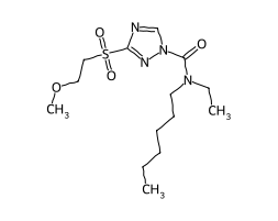 CCCCCCN(CC)C(=O)n1cnc(S(=O)(=O)CCOC)n1